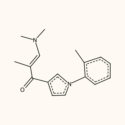 CC(=CN(C)C)C(=O)c1ccn(-c2ccccc2C)c1